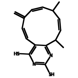 C=C1/C=C\c2c(S)nc(S)nc2C(C)/C=C\C(C)/C=C\1